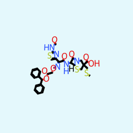 CSCC1(C(=O)O)CS[C@@H]2C(NC(=O)C(=NOCC(=O)OC(c3ccccc3)c3ccccc3)c3csc(NC=O)n3)C(=O)N2C1